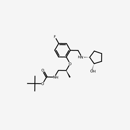 C[C@@H](CNC(=O)OC(C)(C)C)Oc1ccc(F)cc1CN[C@@H]1CCC[C@@H]1O